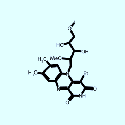 CCc1c2n(CC(OC)C(O)C(O)COI)c3cc(C)c(C)cc3nc-2c(=O)[nH]c1=O